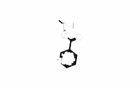 CPOC(=O)c1cccnc1